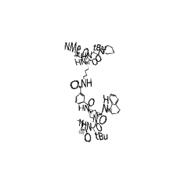 CN[C@@H](C)C(=O)N[C@@H](CCCCNC(=O)c1cccc(C(=O)N[C@H]2C[C@@H](C(=O)N[C@@H]3CCCc4ccccc43)N(C(=O)C(NC(=O)[C@H](C)N(C)C)C(C)(C)C)C2)c1)C(=O)NC(C(=O)N1CCCCC1)C(C)(C)C